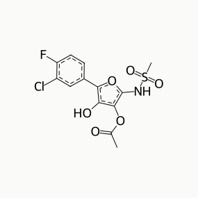 CC(=O)Oc1c(NS(C)(=O)=O)oc(-c2ccc(F)c(Cl)c2)c1O